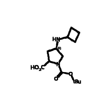 CC(C)(C)OC(=O)N1C[C@H](NC2CCC2)CC1C(=O)O